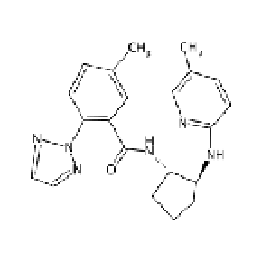 Cc1ccc(N[C@H]2CCC[C@@H]2NC(=O)c2cc(C)ccc2-n2nccn2)nc1